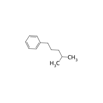 CC(C)CCCc1ccccc1